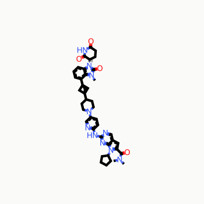 CN(C)C(=O)c1cc2cnc(Nc3ccc(N4CCC(C56CC(c7cccc8c7n(C)c(=O)n8[C@H]7CCC(=O)NC7=O)(C5)C6)CC4)cn3)nc2n1C1CCCC1